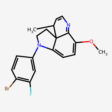 COC1=CC=C2N(c3ccc(Br)c(F)c3)CCC23C1=NC=CC3C